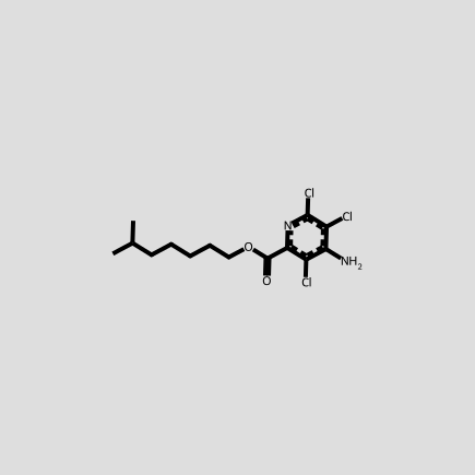 CC(C)CCCCCOC(=O)c1nc(Cl)c(Cl)c(N)c1Cl